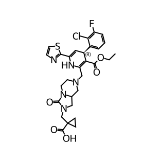 CCOC(=O)C1=C(CN2CCN3C(=O)N(CC4(C(=O)O)CC4)CC3C2)NC(c2nccs2)=C[C@H]1c1cccc(F)c1Cl